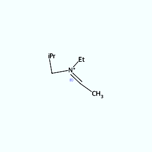 C/C=[N+](\CC)CC(C)C